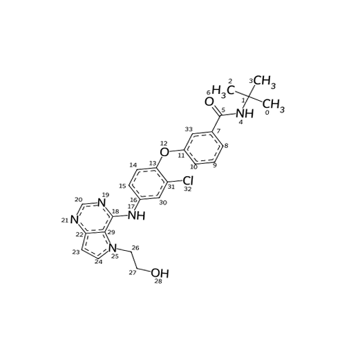 CC(C)(C)NC(=O)c1cccc(Oc2ccc(Nc3ncnc4ccn(CCO)c34)cc2Cl)c1